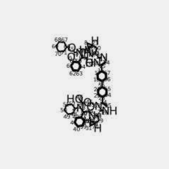 O=C(N[C@@H](C(=O)N1[C@@H]2C[C@@H]2C[C@H]1c1ncc(-c2ccc(-c3ccc(-c4c[nH]c([C@@H]5C[C@H]6C[C@H]6N5C(=O)[C@@H](c5ccccc5)N(C(=O)O)C5CCCCC5)n4)cc3)cc2)[nH]1)c1ccccc1)OC1CCCCC1